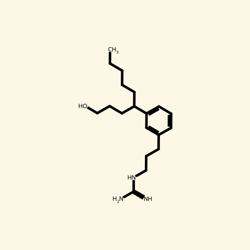 CCCCCC(CCCO)c1cccc(CCCNC(=N)N)c1